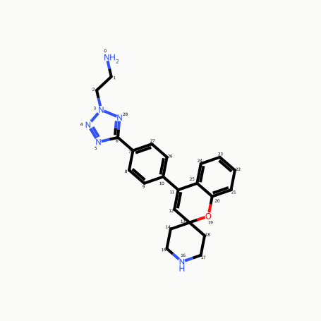 NCCn1nnc(-c2ccc(C3=CC4(CCNCC4)Oc4ccccc43)cc2)n1